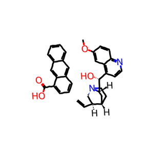 C=C[C@H]1C[N@]2CC[C@H]1C[C@H]2[C@H](O)c1ccnc2ccc(OC)cc12.O=C(O)c1cccc2cc3ccccc3cc12